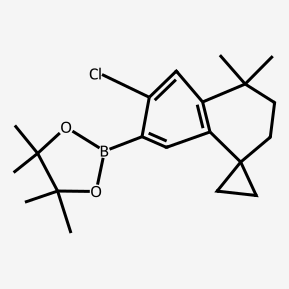 CC1(C)CCC2(CC2)c2cc(B3OC(C)(C)C(C)(C)O3)c(Cl)cc21